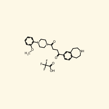 COc1ccccc1N1CCN(C(=O)CCC(=O)c2ccc3c(c2)CCNCC3)CC1.O=C(O)C(F)(F)F